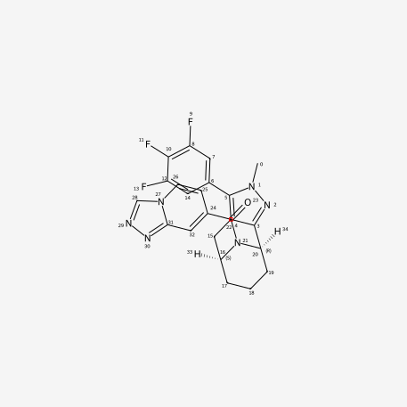 Cn1nc2c(c1-c1cc(F)c(F)c(F)c1)C[C@@H]1CCC[C@H]2N1C(=O)c1ccn2cnnc2c1